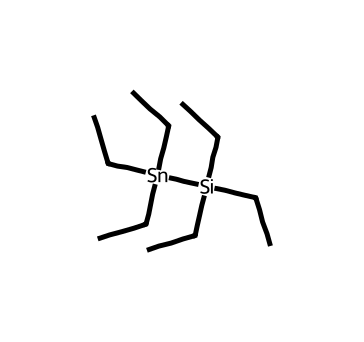 CC[Si](CC)(CC)[Sn]([CH2]C)([CH2]C)[CH2]C